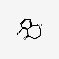 O=C1CCCNc2cccc(F)c21